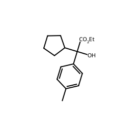 CCOC(=O)C(O)(c1ccc(C)cc1)C1CCCC1